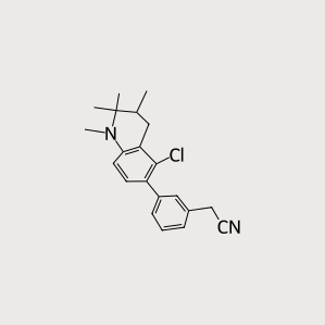 CC1Cc2c(ccc(-c3cccc(CC#N)c3)c2Cl)N(C)C1(C)C